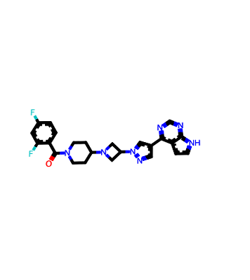 O=C(c1ccc(F)cc1F)N1CCC(N2C[C](n3cc(-c4ncnc5[nH]ccc45)cn3)C2)CC1